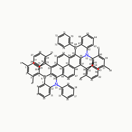 Cc1cc(C)c(B2c3ccccc3N(c3ccccc3)c3c2c(-c2c(C)cccc2C)c2ccc4c5c(c(-c6c(C)cccc6C)c6ccc3c2c46)N(c2c(C)cc(C)cc2C)c2ccccc2B5c2ccccc2)c(C)c1